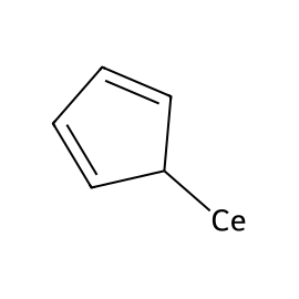 [Ce][CH]1C=CC=C1